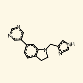 c1ncc(-c2ccc3c(c2)N(Cc2c[nH]cn2)CC3)cn1